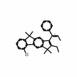 C/C=C(\C1=C(CC)C(C)(C)c2cc3c(cc21)C(C)(C)c1cccc(Cl)c1-3)c1ccccc1